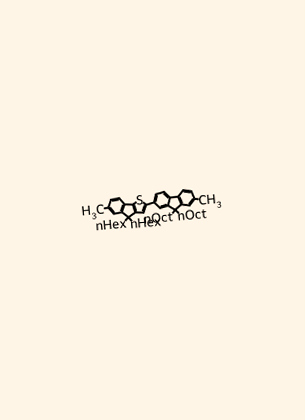 CCCCCCCCC1(CCCCCCCC)c2cc(C)ccc2-c2ccc(-c3cc4c(s3)-c3ccc(C)cc3C4(CCCCCC)CCCCCC)cc21